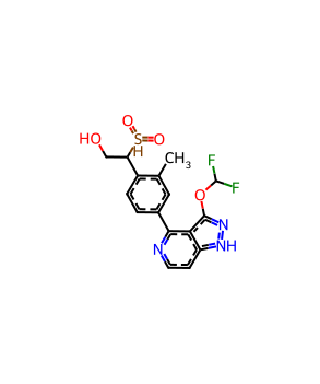 Cc1cc(-c2nccc3[nH]nc(OC(F)F)c23)ccc1C(CO)[SH](=O)=O